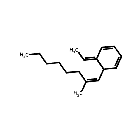 CC=C1C=CC=CC1C=C(C)CCCCCC